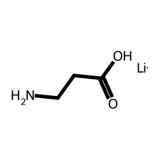 NCCC(=O)O.[Li]